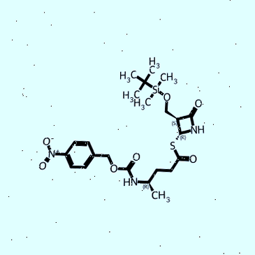 C[C@H](CCC(=O)S[C@H]1NC(=O)[C@@H]1CO[Si](C)(C)C(C)(C)C)NC(=O)OCc1ccc([N+](=O)[O-])cc1